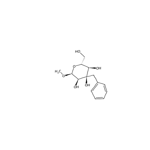 CO[C@H]1O[C@H](CO)[C@@H](O)[C@](O)(Cc2ccccc2)[C@H]1O